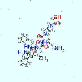 CC(C)CC(NC(=O)C(Cc1ccccc1)NC(=O)C(N)Cc1ccccc1)C(=O)NC(CCCCN)C(=O)N1CC2=C(CN(C(=O)CO)C2)C1